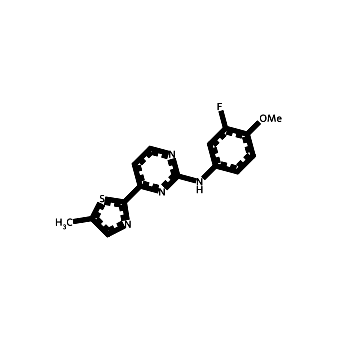 COc1ccc(Nc2nccc(-c3ncc(C)s3)n2)cc1F